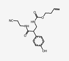 C=CCCOC(=O)NCC(C(=O)NCCC#N)c1ccc(O)cc1